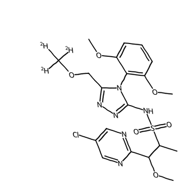 [2H]C([2H])([2H])OCc1nnc(NS(=O)(=O)C(C)C(OC)c2ncc(Cl)cn2)n1-c1c(OC)cccc1OC